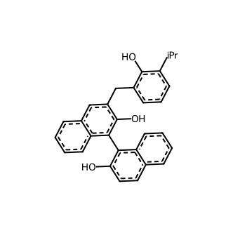 CC(C)c1cccc(Cc2cc3ccccc3c(-c3c(O)ccc4ccccc34)c2O)c1O